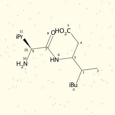 CCC(C)C(C)C(CC(=O)O)NC(=O)[C@@H](N)C(C)C